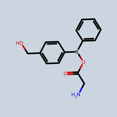 NCC(=O)OB(c1ccccc1)c1ccc(CO)cc1